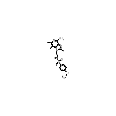 Cc1nc(N)c2nc(C)n(CCNS(=O)(=O)c3ccc(OC(F)(F)F)cc3)c2c1C